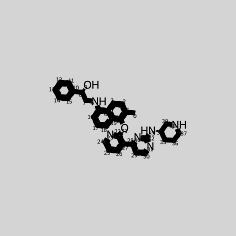 Cc1ccc2c(NC[C@H](O)c3ccccc3)cccc2c1Oc1ncccc1-c1ccnc(N[C@H]2CCCNC2)n1